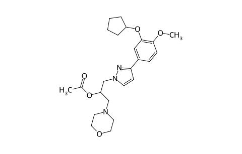 COc1ccc(-c2ccn(CC(CN3CCOCC3)OC(C)=O)n2)cc1OC1CCCC1